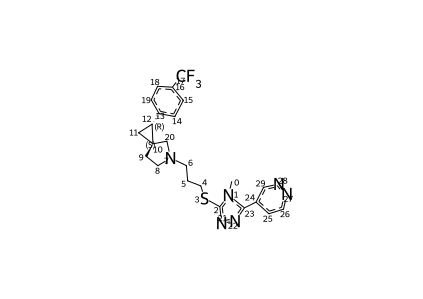 Cn1c(SCCCN2CC[C@]3(C[C@@H]3c3ccc(C(F)(F)F)cc3)C2)nnc1-c1ccnnc1